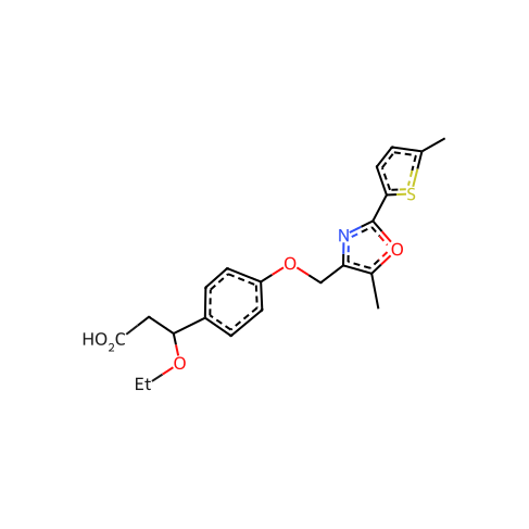 CCOC(CC(=O)O)c1ccc(OCc2nc(-c3ccc(C)s3)oc2C)cc1